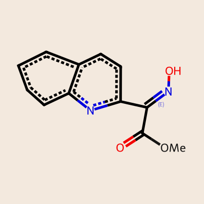 COC(=O)/C(=N/O)c1ccc2ccccc2n1